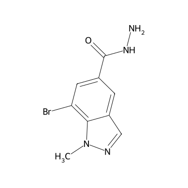 Cn1ncc2cc(C(=O)NN)cc(Br)c21